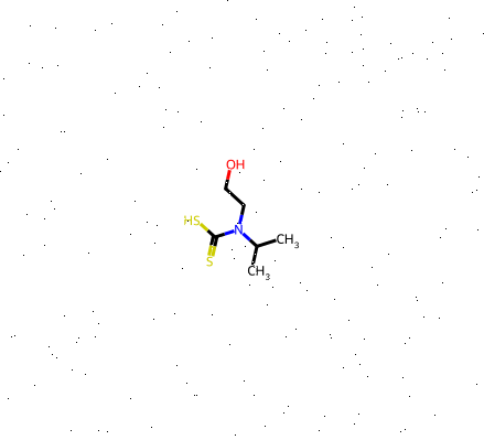 CC(C)N(CCO)C(=S)S